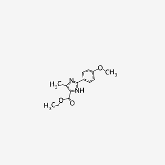 CCOC(=O)c1[nH]c(-c2ccc(OC)cc2)nc1C